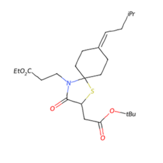 CCOC(=O)CCN1C(=O)C(CC(=O)OC(C)(C)C)SC12CCC(=CCC(C)C)CC2